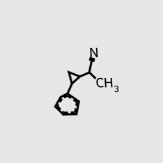 CC(C#N)C1CC1c1ccccc1